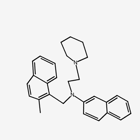 Cc1ccc2ccccc2c1CN(CCN1CCCCC1)c1ccc2ccccc2c1